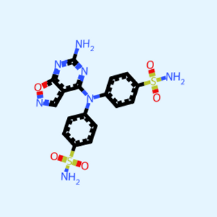 Nc1nc(N(c2ccc(S(N)(=O)=O)cc2)c2ccc(S(N)(=O)=O)cc2)c2cnoc2n1